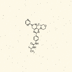 CC(I)NC(=O)Nc1ccc(-c2nc3c(c(N4CCOCC4C)n2)CCN(c2cnccn2)C3)cc1